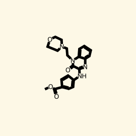 COC(=O)c1ccc(Nc2nc3ccccc3n(CCN3CCOCC3)c2=O)cc1